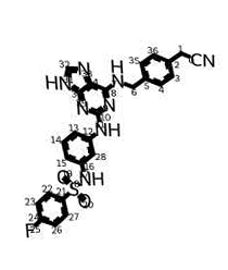 N#CCc1ccc(CNc2nc(Nc3cccc(NS(=O)(=O)c4ccc(F)cc4)c3)nc3[nH]cnc23)cc1